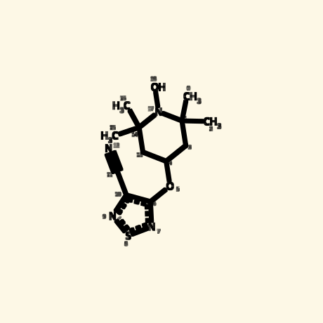 CC1(C)CC(Oc2nsnc2C#N)CC(C)(C)N1O